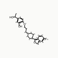 CC(O)c1ccc(OCCCN2CCC(c3onc4cc(F)ccc34)CC2)c(O)c1